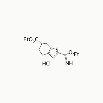 CCOC(=N)c1cc2c(s1)CC(C(=O)OCC)CC2.Cl